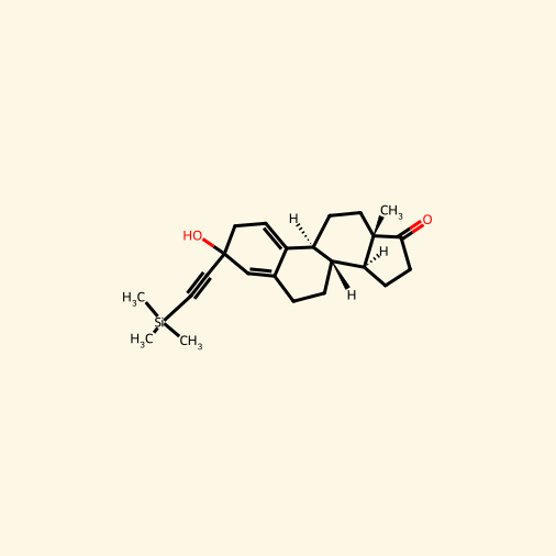 C[C@]12CC[C@@H]3C4=CCC(O)(C#C[Si](C)(C)C)C=C4CC[C@H]3[C@@H]1CCC2=O